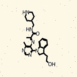 C/C(=N\c1c(C)ncnc1N1CC(CCO)c2ccccc21)C(=O)NCC1CCNCC1